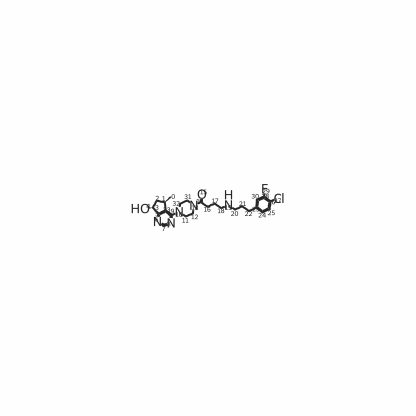 C[C@@H]1C[C@@H](O)c2ncnc(N3CCN(C(=O)CCCNCCCc4ccc(Cl)c(F)c4)CC3)c21